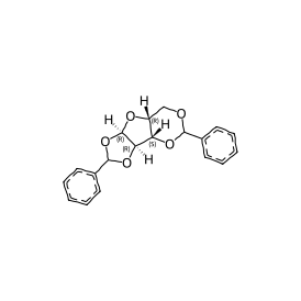 c1ccc(C2OC[C@H]3O[C@@H]4OC(c5ccccc5)O[C@@H]4[C@H]3O2)cc1